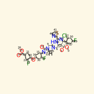 COC(=O)C1=C(CN2CCN3C(=O)N(c4ccc(Oc5ccc(C(=O)OC)cc5F)cc4F)C[C@@H]3C2)NC(c2nccs2)=N[C@H]1c1ccc(F)cc1Cl